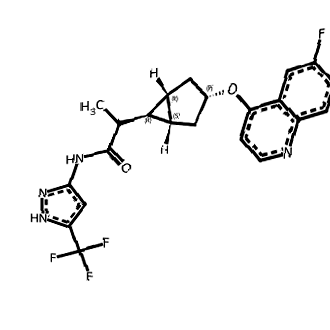 CC(C(=O)Nc1cc(C(F)(F)F)[nH]n1)[C@H]1[C@@H]2C[C@H](Oc3ccnc4ccc(F)cc34)C[C@@H]21